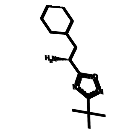 CC(C)(C)c1noc([C@H](N)CC2CCCCC2)n1